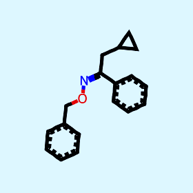 c1ccc(CON=C(CC2CC2)c2ccccc2)cc1